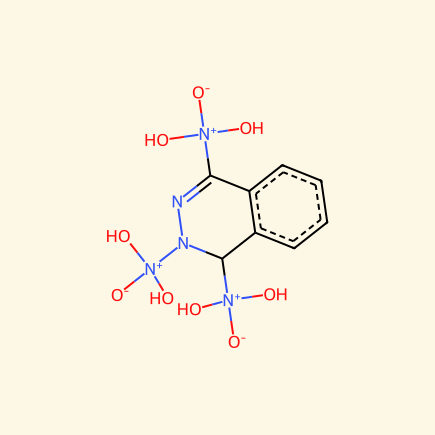 [O-][N+](O)(O)C1=NN([N+]([O-])(O)O)C([N+]([O-])(O)O)c2ccccc21